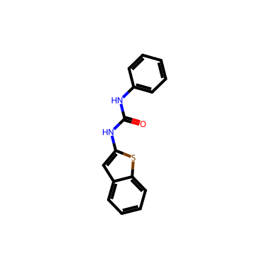 O=C(Nc1ccccc1)Nc1cc2ccccc2s1